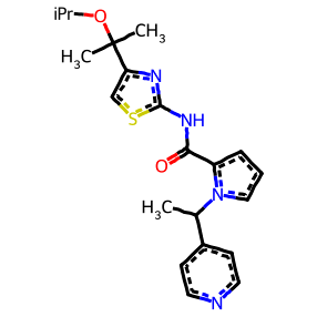 CC(C)OC(C)(C)c1csc(NC(=O)c2cccn2C(C)c2ccncc2)n1